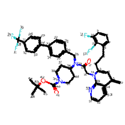 C=C1C=C(CCc2cccc(F)c2F)N(CC(=O)N(Cc2ccc(-c3ccc(C(F)(F)F)cc3)cc2)C2CCN(C(=O)OC(C)(C)C)CC2)c2ncccc21